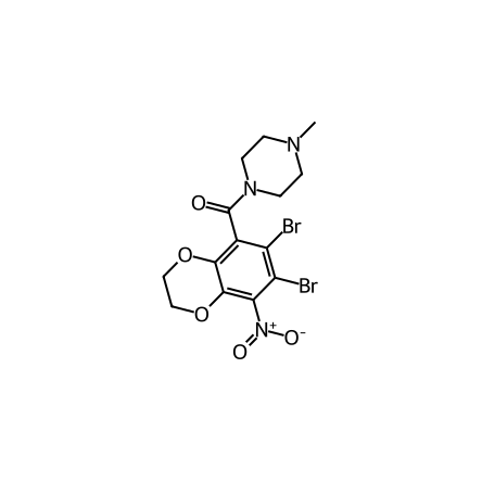 CN1CCN(C(=O)c2c(Br)c(Br)c([N+](=O)[O-])c3c2OCCO3)CC1